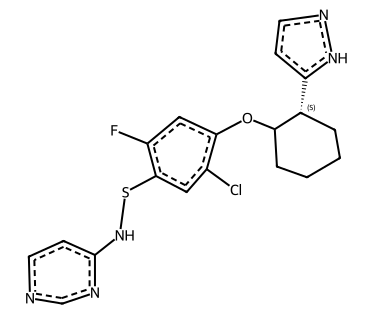 Fc1cc(OC2CCCC[C@H]2c2ccn[nH]2)c(Cl)cc1SNc1ccncn1